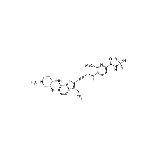 [2H]C([2H])([2H])NC(=O)c1ccc(NCC#Cc2cc3c(N[C@@H]4CCN(C)C[C@@H]4F)cccn3c2CC(F)(F)F)c(OC)n1